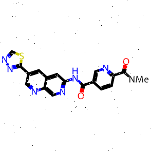 CNC(=O)c1ccc(C(=O)Nc2cc3cc(-c4nncs4)cnc3cn2)cn1